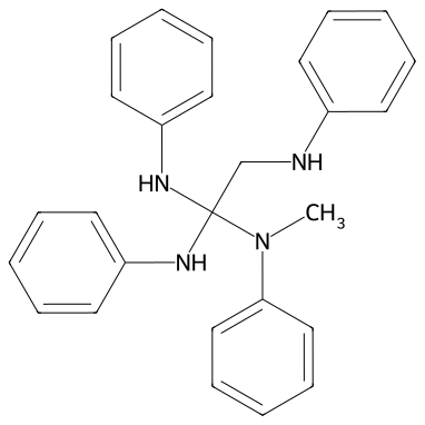 CN(c1ccccc1)C(CNc1ccccc1)(Nc1ccccc1)Nc1ccccc1